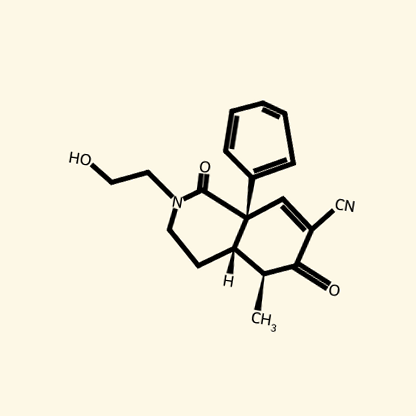 C[C@@H]1C(=O)C(C#N)=C[C@@]2(c3ccccc3)C(=O)N(CCO)CC[C@@H]12